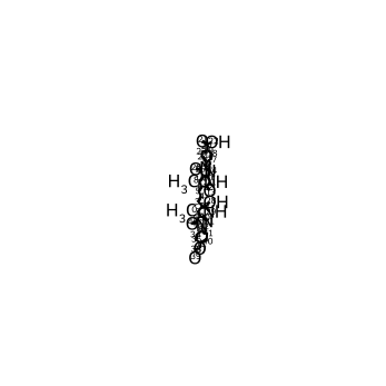 Cc1c(C=C/C=c2/c(C)c3c([nH]c2=O)=NN(c2ccc(C(=O)O)cc2)C3=O)c(O)[nH]c2nn(-c3ccc(OC=O)cc3)c(=O)c1-2